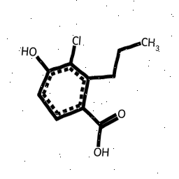 CCCc1c(C(=O)O)ccc(O)c1Cl